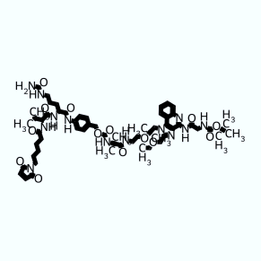 CCOCc1nc2c(NC(=O)CNC(=O)OC(C)(C)C)nc3ccccc3c2n1CC(C)(C)OCCNC(=O)C(C)(C)NC(=O)OCc1ccc(NC(=O)C(CCCNC(N)=O)NC(=O)[C@@H](NC(=O)CCCCCN2C(=O)C=CC2=O)C(C)C)cc1